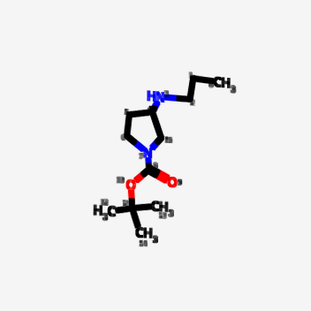 CCCNC1CCN(C(=O)OC(C)(C)C)C1